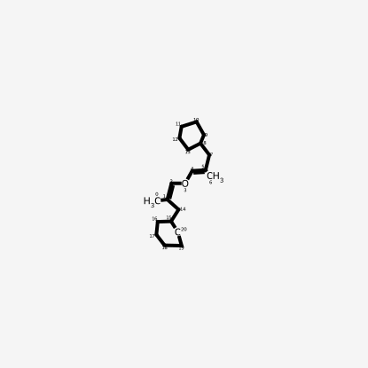 CC(=COC=C(C)CC1CCCCC1)CC1CCCCC1